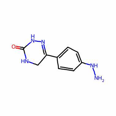 NNc1ccc(C2=NNC(=O)NC2)cc1